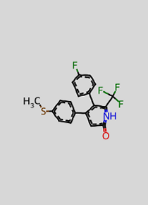 CSc1ccc(-c2cc(=O)[nH]c(C(F)(F)F)c2-c2ccc(F)cc2)cc1